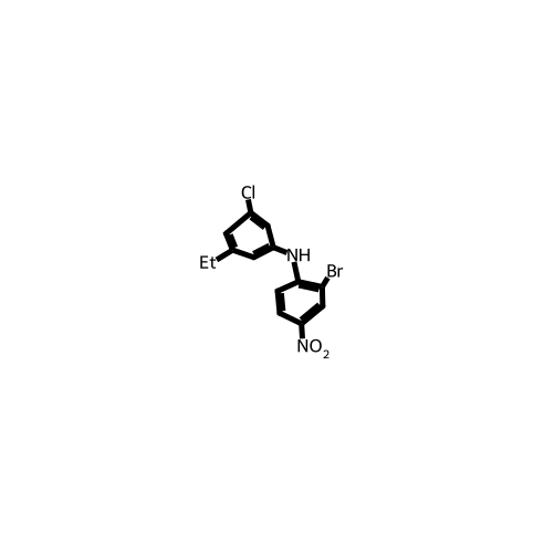 CCc1cc(Cl)cc(Nc2ccc([N+](=O)[O-])cc2Br)c1